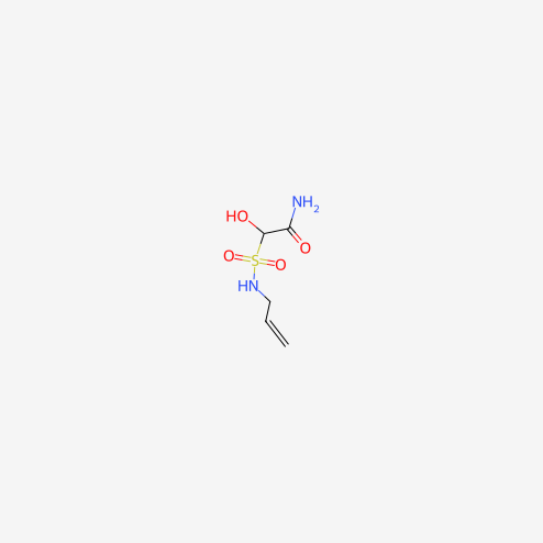 C=CCNS(=O)(=O)C(O)C(N)=O